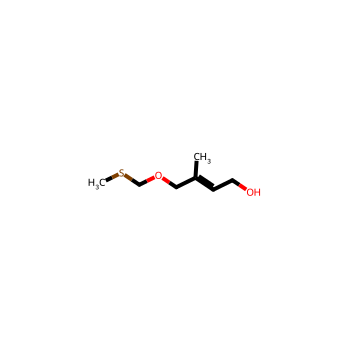 CSCOC/C(C)=C/CO